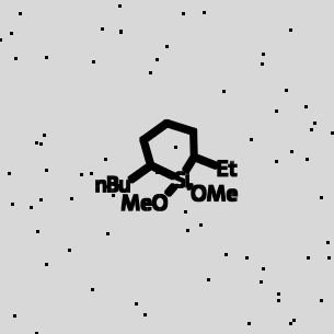 CCCCC1CCCC(CC)[Si]1(OC)OC